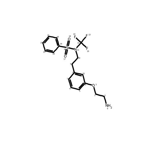 NCCOc1cccc(CCN(C(F)(F)F)S(=O)(=O)c2ccccc2)c1